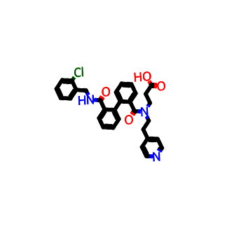 O=C(O)CCN(CCc1ccncc1)C(=O)c1ccccc1-c1ccccc1C(=O)NCc1ccccc1Cl